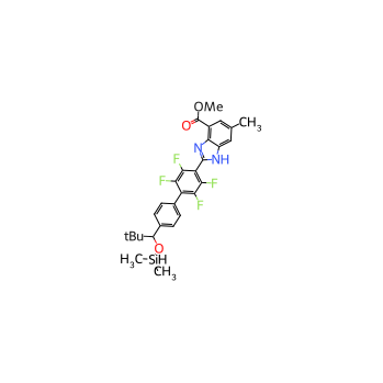 COC(=O)c1cc(C)cc2[nH]c(-c3c(F)c(F)c(-c4ccc(C(O[SiH](C)C)C(C)(C)C)cc4)c(F)c3F)nc12